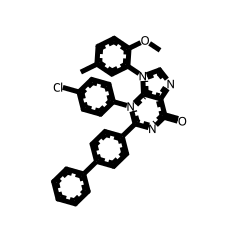 COc1ccc(C)cc1-n1cnc2c(=O)nc(-c3ccc(-c4ccccc4)cc3)n(-c3ccc(Cl)cc3)c21